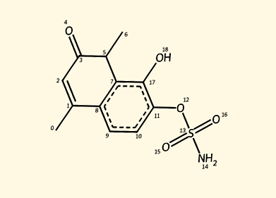 CC1=CC(=O)C(C)c2c1ccc(OS(N)(=O)=O)c2O